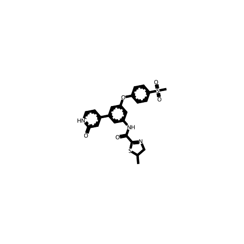 CC1CN=C(C(=O)Nc2cc(Oc3ccc(S(C)(=O)=O)cc3)cc(-c3cc[nH]c(=O)c3)c2)S1